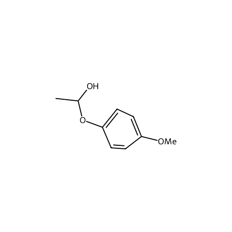 COc1ccc(OC(C)O)cc1